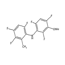 COc1c(F)cc(F)c(Bc2c(F)cc(F)c(F)c2C)c1F